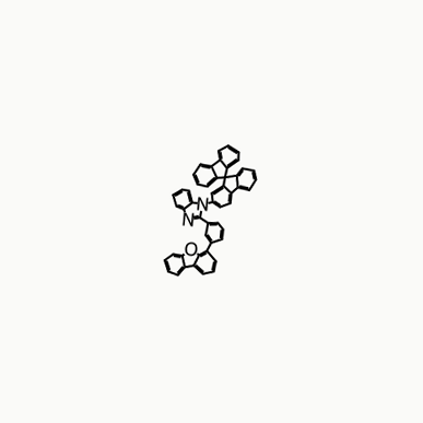 c1cc(-c2cccc3c2oc2ccccc23)cc(-c2nc3ccccc3n2-c2ccc3c(c2)C2(c4ccccc4-c4ccccc42)c2ccccc2-3)c1